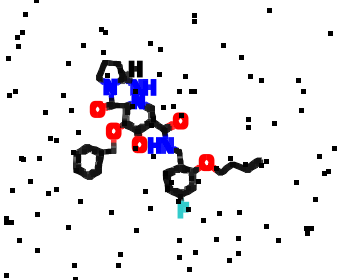 C=CCCOc1cc(F)ccc1CNC(=O)c1cn2c(c(OCc3ccccc3)c1=O)C(=O)N1CCC[C@H]1N2